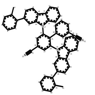 Cc1ccccc1-c1ccc2c3ccccc3n(-c3cc(C#N)cc(-n4c5ccccc5c5ccc(-c6ccccc6C)cc54)c3-c3cccc(C#N)c3)c2c1